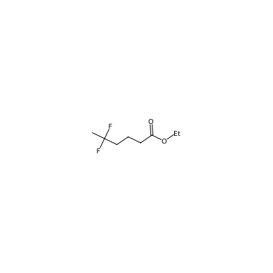 CCOC(=O)CCCC(C)(F)F